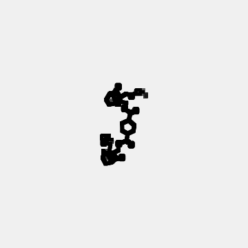 COC[C@@]1(COC(=O)C2CCC(C(=O)OC[C@]3(COC)C(=O)C4CCN3CC4)CC2)C(=O)C2CCN1CC2